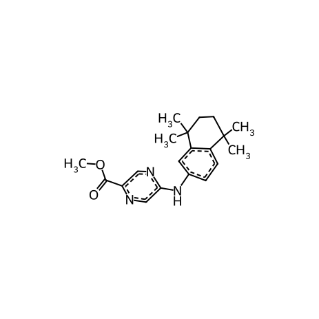 COC(=O)c1cnc(Nc2ccc3c(c2)C(C)(C)CCC3(C)C)cn1